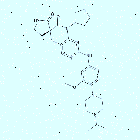 COc1cc(Nc2ncc3c(n2)N(C2CCCC2)C(=O)[C@]2(CCNC2=O)C3)ccc1N1CCN(C(C)C)CC1